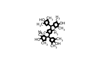 Cc1cc(C(c2cc(C)c(O)c(C)c2)c2cc(C)c(O)c(C)c2)c(C)cc1C(c1cc(C)c(O)c(C)c1)c1cc(C)c(O)c(C)c1